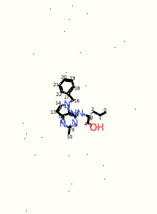 CCC[C@H](CO)Nc1nc(C)nc2ccn(Cc3ccccc3)c12